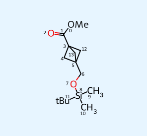 COC(=O)C12CC(CO[Si](C)(C)C(C)(C)C)(C1)C2